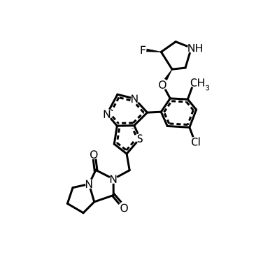 Cc1cc(Cl)cc(-c2ncnc3cc(CN4C(=O)C5CCCN5C4=O)sc23)c1O[C@@H]1CNC[C@@H]1F